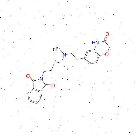 CCCN(CCCCN1C(=O)c2ccccc2C1=O)CCc1ccc2c(c1)NC(=O)CO2